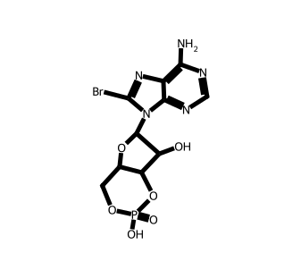 Nc1ncnc2c1nc(Br)n2C1OC2COP(=O)(O)OC2C1O